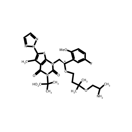 COc1ccc(F)cc1[C@H](Cn1c(=O)n(C(C)(C)C(=O)O)c(=O)c2c(C)c(-n3nccn3)sc21)OCCC(C)(C)OCC(C)N